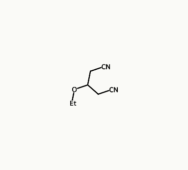 CCOC(CC#N)CC#N